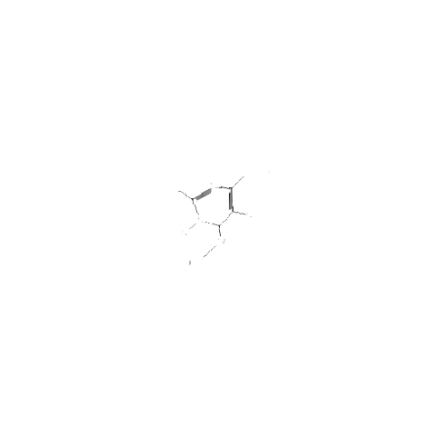 CCCCCC1=C([N+](=O)[O-])C(NC(C)C)N(N)C(Cl)=N1